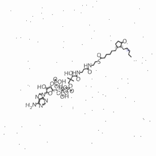 CC/C=C\C[C@@H]1C(=O)CC[C@@H]1CCCCCC(=O)SCCNC(=O)CCNC(=O)C(O)C(C)(C)COP(=O)(O)OP(=O)(O)OC[C@H]1O[C@@H](n2cnc3c(N)ncnc32)[C@H](O)[C@@H]1OP(=O)(O)O